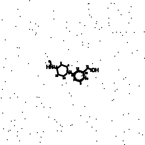 CNC1CCN(c2ccnc(CO)c2)CC1